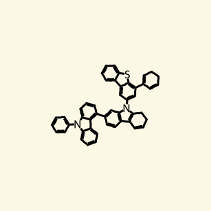 C1=CC(c2cc(-n3c4c(c5ccc(-c6cccc7c6c6ccccc6n7-c6ccccc6)cc53)C=CCC4)cc3c2sc2ccccc23)=CCC1